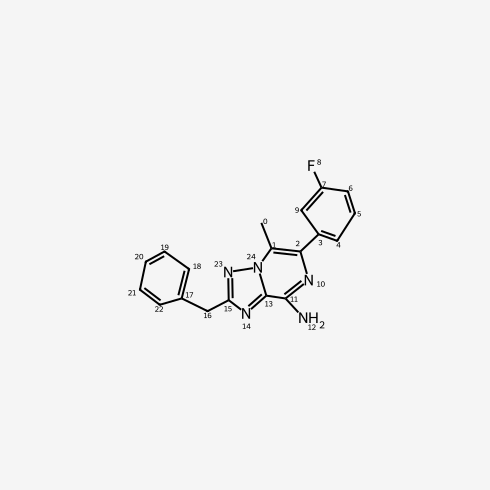 Cc1c(-c2cccc(F)c2)nc(N)c2nc(Cc3ccccc3)nn12